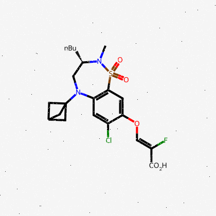 CCCC[C@@H]1CN(C23CC(C2)C3)c2cc(Cl)c(O/C=C(\F)C(=O)O)cc2S(=O)(=O)N1C